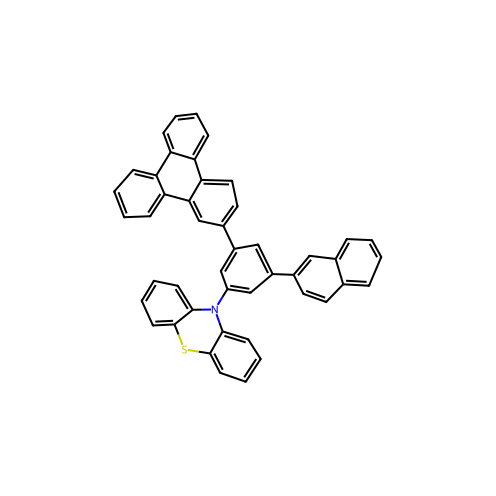 c1ccc2c(c1)Sc1ccccc1N2c1cc(-c2ccc3ccccc3c2)cc(-c2ccc3c4ccccc4c4ccccc4c3c2)c1